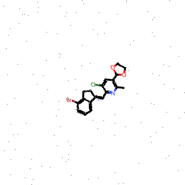 Cc1nc(/C=C2\CCc3c(Br)cccc32)c(Cl)cc1C1OCCO1